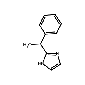 CC(c1ccccc1)c1ncc[nH]1